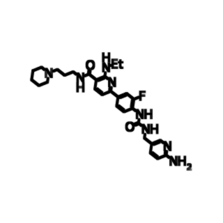 CCNc1nc(-c2ccc(NC(=O)NCc3ccc(N)nc3)c(F)c2)ccc1C(=O)NCCCN1CCCCC1